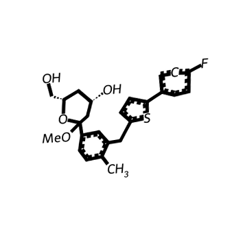 COC1(c2ccc(C)c(Cc3ccc(-c4ccc(F)cc4)s3)c2)C[C@@H](O)C[C@@H](CO)O1